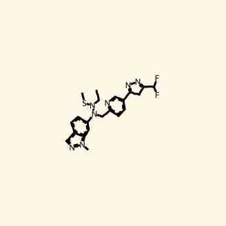 CCN(SC)N(Cc1ccc(C2=NN=C(C(F)F)C2)cn1)c1ccc2cnn(C)c2c1